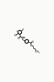 CCCCOC(=O)c1ccc(CNC(=O)c2cc(F)cnc2Cl)cc1